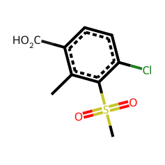 Cc1c(C(=O)O)ccc(Cl)c1S(C)(=O)=O